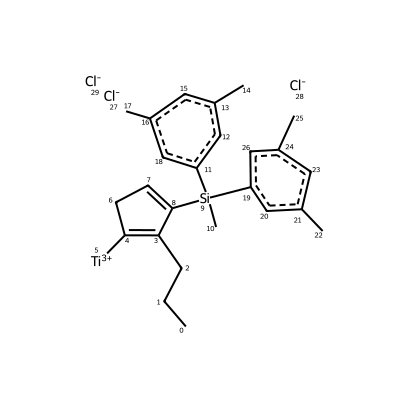 CCCC1=[C]([Ti+3])CC=C1[Si](C)(c1cc(C)cc(C)c1)c1cc(C)cc(C)c1.[Cl-].[Cl-].[Cl-]